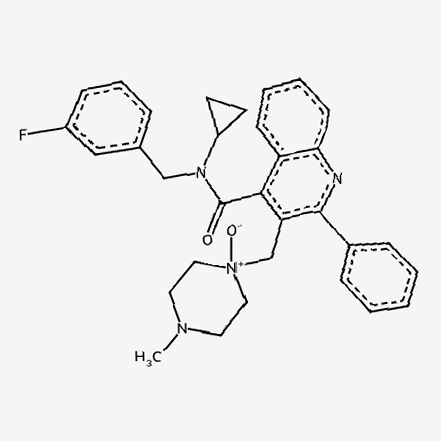 CN1CC[N+]([O-])(Cc2c(-c3ccccc3)nc3ccccc3c2C(=O)N(Cc2cccc(F)c2)C2CC2)CC1